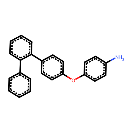 Nc1ccc(Oc2ccc(-c3ccccc3-c3ccccc3)cc2)cc1